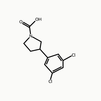 O=C(O)N1CCC(c2cc(Cl)cc(Cl)c2)C1